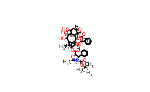 CC(=O)O[C@@]12CO[C@@H]1C[C@H](O)[C@@]1(C)C(=O)[C@H](O)C3=C(C)[C@@H](OC(=O)[C@H](OC(C)C)[C@@H](NC(=O)OC(C)(C)C)c4ccccc4)C[C@@](O)([C@@H](OC(=O)c4ccccc4)[C@H]21)C3(C)C